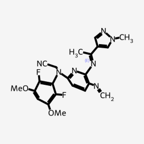 C=Nc1ccc(N(CC#N)c2c(F)c(OC)cc(OC)c2F)nc1/N=C(\C)c1cnn(C)c1